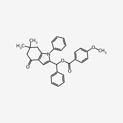 COc1ccc(C(=O)OC(c2ccccc2)c2cc3c(n2-c2ccccc2)CC(C)(C)CC3=O)cc1